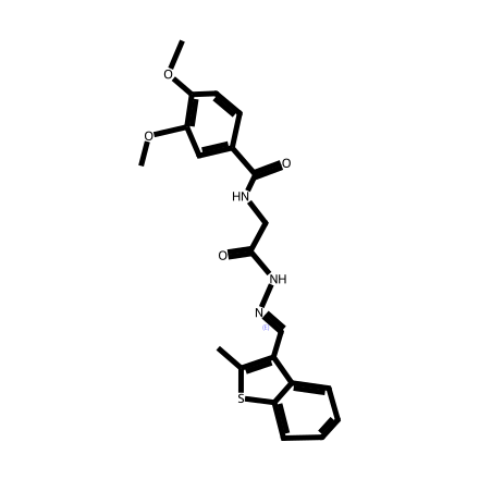 COc1ccc(C(=O)NCC(=O)N/N=C/c2c(C)sc3ccccc23)cc1OC